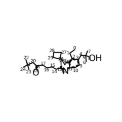 CCc1c(CC(C)(C)O)ccc2nc(CCCCC(=O)CC(C)(C)C)n(C3CCC3)c12